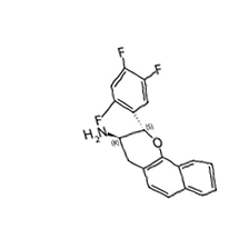 N[C@@H]1Cc2ccc3ccccc3c2O[C@H]1c1cc(F)c(F)cc1F